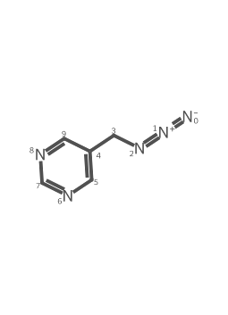 [N-]=[N+]=NCc1cncnc1